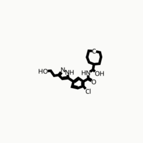 O=C(NC(O)C1CCCCCCC1)c1cc(-c2cc(CCO)n[nH]2)ccc1Cl